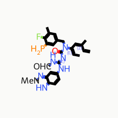 C=C/C(C)=C\C(=C/C)N(Cc1cc(C)c(F)c(P)c1)C(=O)/N=C(\NC=O)NC1=CC(=NNC)C(=N)C=C1